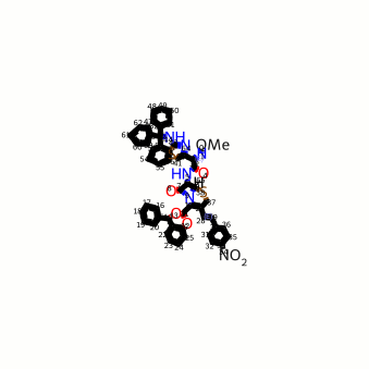 CO/N=C(/C(=O)NC1C(=O)N2C(C(=O)OC(c3ccccc3)c3ccccc3)=C(/C=C/c3ccc([N+](=O)[O-])cc3)CS[C@H]12)c1csc(NC(c2ccccc2)(c2ccccc2)c2ccccc2)n1